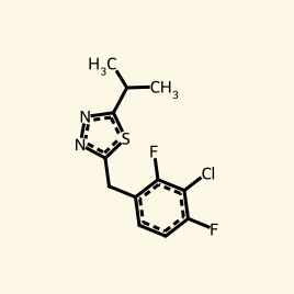 CC(C)c1nnc(Cc2ccc(F)c(Cl)c2F)s1